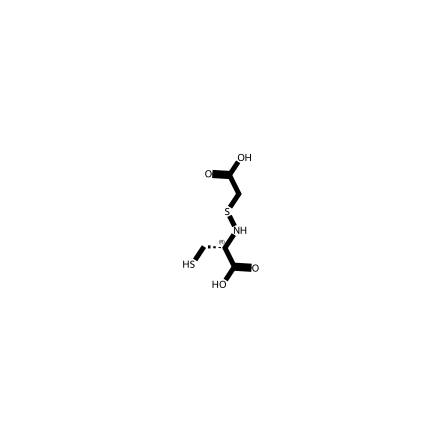 O=C(O)CSN[C@@H](CS)C(=O)O